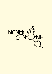 Cc1ccc2c(Cc3cccc(C(=O)NC#N)n3)c(-c3ccsc3)[nH]c2c1